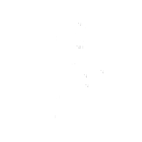 NC(=O)C1(C(Cc2ccccc2)NC(=O)c2cccnc2-n2ccc(-c3cccc(F)c3Cl)n2)OCCO1